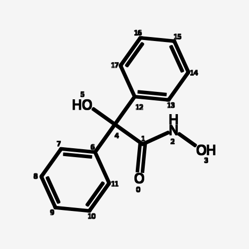 O=C(NO)C(O)(c1ccccc1)c1ccccc1